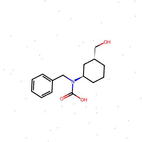 O=C(O)N(Cc1ccccc1)[C@@H]1CCC[C@@H](CO)C1